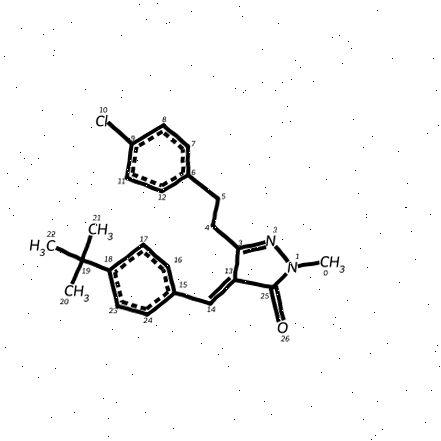 CN1N=C(CCc2ccc(Cl)cc2)/C(=C\c2ccc(C(C)(C)C)cc2)C1=O